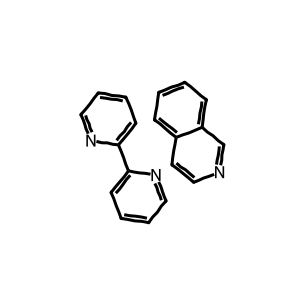 c1ccc(-c2ccccn2)nc1.c1ccc2cnccc2c1